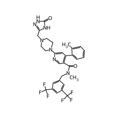 Cc1ccccc1-c1cc(N2CCN(Cc3n[nH]c(=O)[nH]3)CC2)ncc1C(=O)N(C)Cc1cc(C(F)(F)F)cc(C(F)(F)F)c1